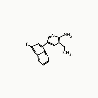 CCc1cc(-c2cc(F)cc3cccnc23)cnc1N